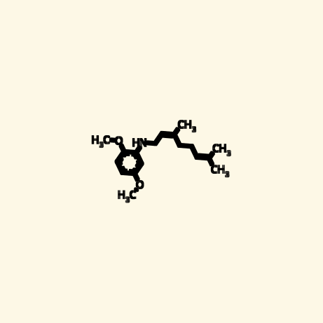 COc1ccc(OC)c(NCC=C(C)CCC=C(C)C)c1